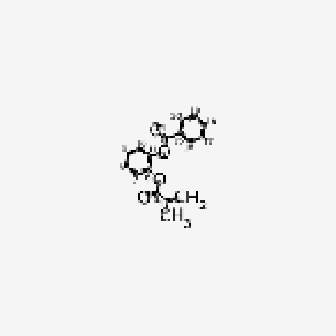 C=C(C)C(=O)Oc1ccccc1OC(=O)c1ccccc1